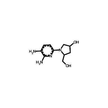 Nc1ccc(N2CC(O)CC2CO)nc1N